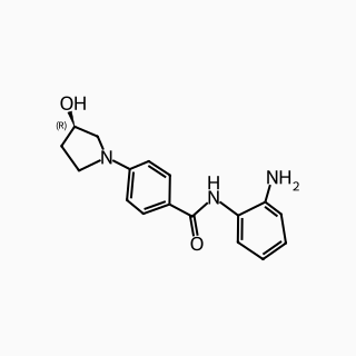 Nc1ccccc1NC(=O)c1ccc(N2CC[C@@H](O)C2)cc1